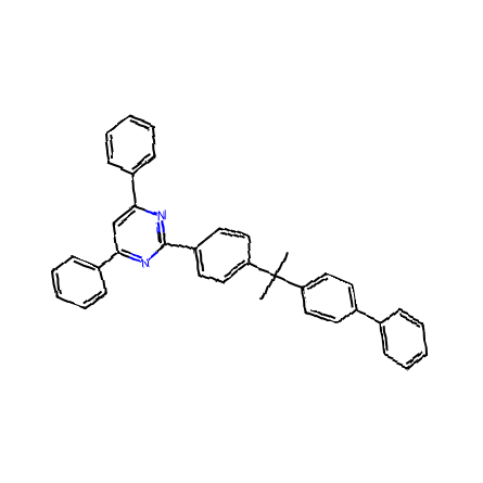 CC(C)(c1ccc(-c2ccccc2)cc1)c1ccc(-c2nc(-c3ccccc3)cc(-c3ccccc3)n2)cc1